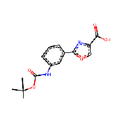 CC(C)(C)OC(=O)Nc1cccc(-c2nc(C(=O)O)co2)c1